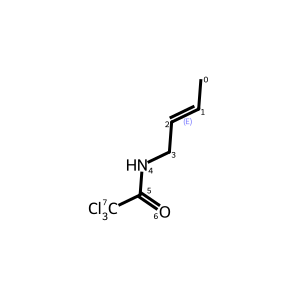 C/C=C/CNC(=O)C(Cl)(Cl)Cl